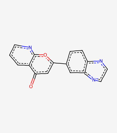 O=c1cc(-c2ccc3nccnc3c2)oc2ncccc12